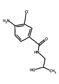 CC(O)CNC(=O)c1ccc(N)c(Cl)c1